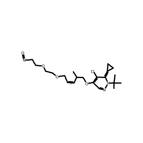 CC(/C=C\COCCOCCN=O)COC1=C(Cl)C(=C2CC2)N(C(C)(C)C)N=C1